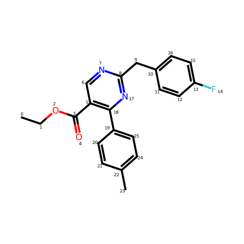 CCOC(=O)c1cnc(Cc2ccc(F)cc2)nc1-c1ccc(C)cc1